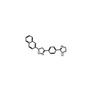 c1ccc2cc(C3CC(c4ccc(C5=NCCN5)cc4)=NO3)ccc2c1